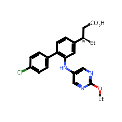 CCOc1ncc(Nc2cc([C@H](CC)CC(=O)O)ccc2-c2ccc(Cl)cc2)cn1